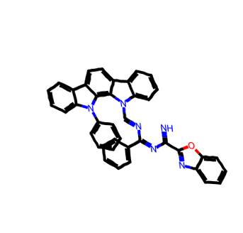 N=C(/N=C(\N=C\n1c2ccccc2c2ccc3c4ccccc4n(-c4ccccc4)c3c21)c1ccccc1)c1nc2ccccc2o1